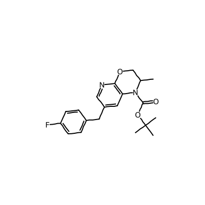 CC1COc2ncc(Cc3ccc(F)cc3)cc2N1C(=O)OC(C)(C)C